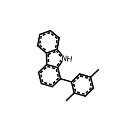 Cc1ccc(C)c(-c2cccc3c2[nH]c2ccccc23)c1